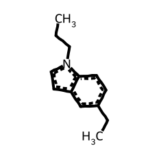 CCCn1ccc2cc(CC)ccc21